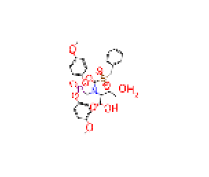 CCC(C(=O)O)N(CP(=O)(Oc1ccc(OC)cc1)Oc1ccc(OC)cc1)C(=O)S(=O)(=O)Cc1ccccc1.O